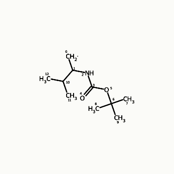 [CH2]C(NC(=O)OC(C)(C)C)C(C)C